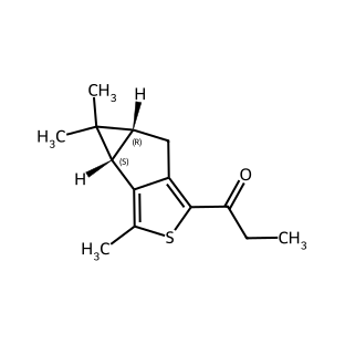 CCC(=O)c1sc(C)c2c1C[C@@H]1[C@H]2C1(C)C